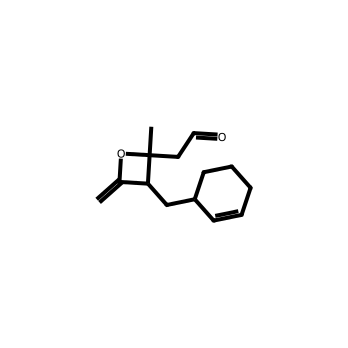 C=C1OC(C)(CC=O)C1CC1C=CCCC1